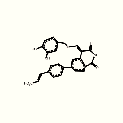 O=C(O)/C=C/c1ccc(-c2ccc3c(c2)/C(=C\NCc2ccc(O)c(O)c2)C(=O)NC3=O)cc1